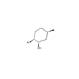 CC(C)[C@H]1CC[C@@H](C)C[C@H]1O